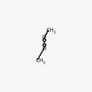 C/C=C/C=C/COc1ccc(-c2ccc(OCCCCCCCCCC)cc2)cc1